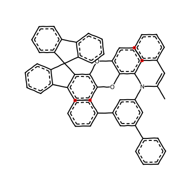 C/C(=C/c1ccccc1)N(c1cc(-c2ccccc2)cc(-c2ccccc2)c1)c1cccc2c1Oc1ccc3c(c1O2)C1(c2ccccc2-c2ccccc21)c1ccccc1-3